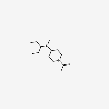 C=C(C)N1CCC(N(C)C(CC)CC)CC1